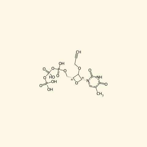 C#CCOC1[C@H](n2cc(C)c(=O)[nH]c2=O)O[C@@H]1COP(=O)(O)OP(=O)(O)OP(=O)(O)O